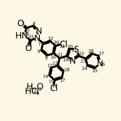 Cl.O.O=c1cnn(-c2ccc(C(c3ccc(Cl)cc3)c3csc(-c4ccncc4)n3)c(Cl)c2)c(=O)[nH]1